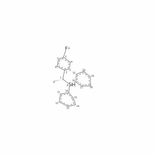 C[C@H](c1ccc(F)cc1)[SiH](c1ccccc1)c1ccccc1